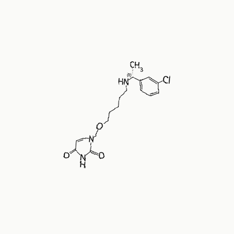 C[C@@H](NCCCCCOCn1ccc(=O)[nH]c1=O)c1cccc(Cl)c1